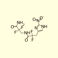 NC(=O)C(F)(F)CNC(=O)C(F)(F)Cc1c[nH]c([N+](=O)[O-])n1